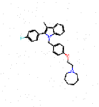 Cc1c(-c2ccc(F)cc2)n(Cc2ccc(OCCN3CCCCCC3)cc2)c2ccccc12